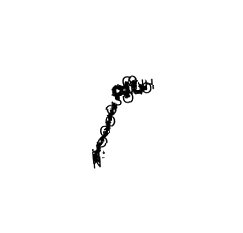 [N-]=[N+]=NCCOCCOCCOCCOCCSc1cccc2c1C(=O)N(C1CCC(=O)NC1=O)C2=O